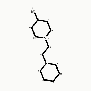 [CH2]CC1CCN(CCN2CCCCC2)CC1